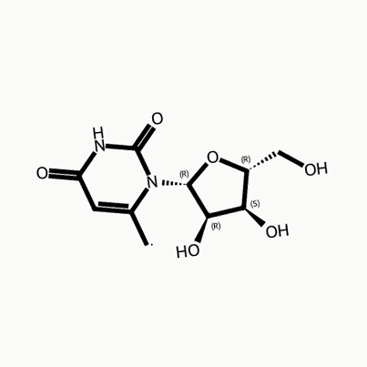 [CH2]c1cc(=O)[nH]c(=O)n1[C@@H]1O[C@H](CO)[C@@H](O)[C@H]1O